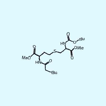 COC(=O)C(CCSCC(NC(=O)OC(C)(C)C)C(=O)OC)NC(=O)CC(C)(C)C